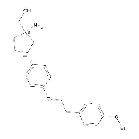 CCOc1ccc(CCOc2ccc([C@@H]3CC[C@@](N)(CO)C3)cc2)cc1